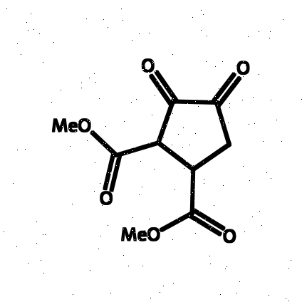 COC(=O)C1CC(=O)C(=O)C1C(=O)OC